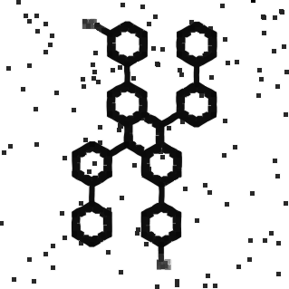 [C-]#[N+]c1ccc(-c2ccc3c(-c4cccc(-c5ccccc5)c4)c4cc(-c5cccc(C#N)c5)ccc4c(-c4cccc(-c5ccccc5)c4)c3c2)cc1